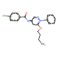 CCCCOc1cc(=NC(=O)c2ccc(Cl)cc2)cnn1-c1ccccc1